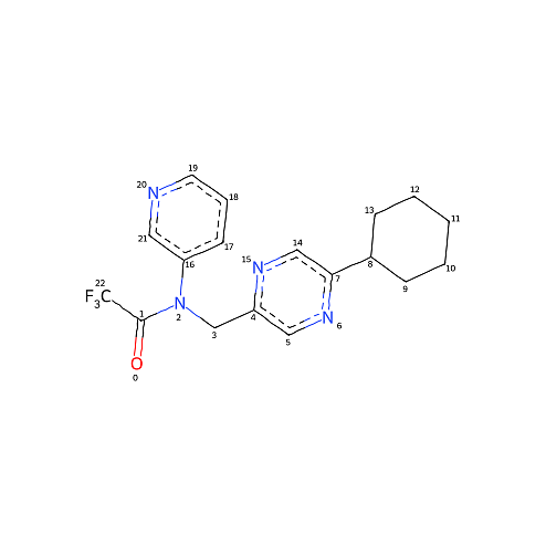 O=C(N(Cc1cnc(C2CCCCC2)cn1)c1cccnc1)C(F)(F)F